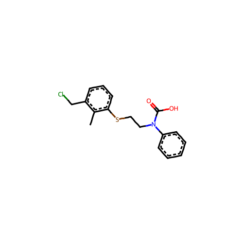 Cc1c(CCl)cccc1SCCN(C(=O)O)c1ccccc1